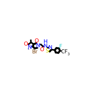 CC1C(=O)N(C)c2c(Br)cn(CC(=O)Nc3nc(-c4ccc(C(F)(F)F)c(F)c4)cs3)c(=O)c21